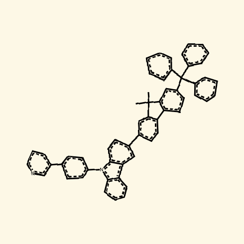 CC1(C)c2cc(-c3ccc4c(c3)c3ccccc3n4-c3ccc(-c4cccnc4)cc3)ccc2-c2ccc(C(c3ccccc3)(c3ccccc3)c3ccccc3)cc21